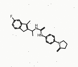 C=C(Nc1ccc(N2CCCC2=C)cc1)NC(C)C1=C(C)c2cc(F)ccc2C1